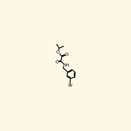 CC(C)OC(=O)C(=O)NCc1cccc(Br)c1